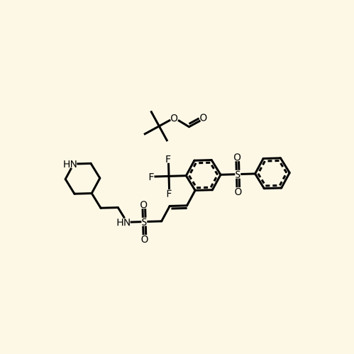 CC(C)(C)OC=O.O=S(=O)(CC=Cc1cc(S(=O)(=O)c2ccccc2)ccc1C(F)(F)F)NCCC1CCNCC1